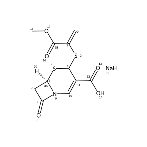 C=C(SC1S[C@@H]2CC(=O)N2C=C1C(=O)O)C(=O)OC.[NaH]